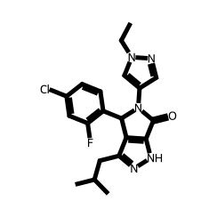 CCn1cc(N2C(=O)c3[nH]nc(CC(C)C)c3C2c2ccc(Cl)cc2F)cn1